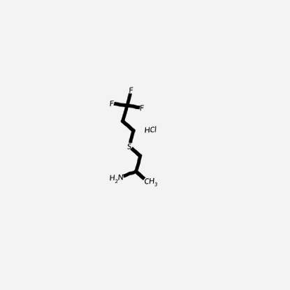 CC(N)CSCCC(F)(F)F.Cl